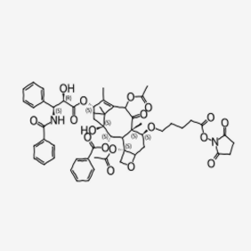 CC(=O)OC1C(=O)[C@@]2(C)C([C@H](OC(=O)c3ccccc3)[C@]3(O)C[C@H](OC(=O)[C@H](O)[C@@H](NC(=O)c4ccccc4)c4ccccc4)C(C)=C1C3(C)C)[C@]1(OC(C)=O)COC1C[C@@H]2OCCCCC(=O)ON1C(=O)CCC1=O